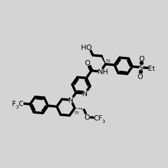 CCS(=O)(=O)c1ccc([C@H](CCO)NC(=O)c2ccc(N3CC(c4ccc(C(F)(F)F)cc4)CC[C@H]3COC(F)(F)F)nc2)cc1